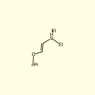 CCCOC=C[SiH](CC)CC